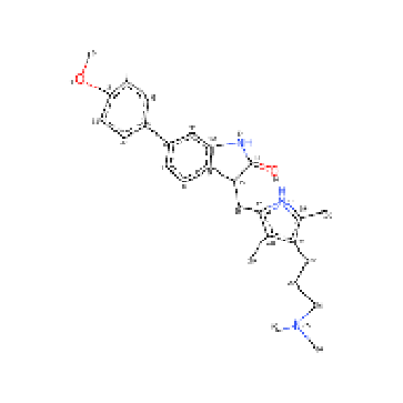 COc1ccc(-c2ccc3c(c2)NC(=O)C3Cc2[nH]c(C)c(CCCN(C)C)c2C)cc1